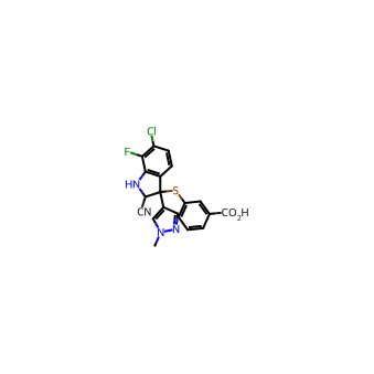 Cn1cc(C2(Sc3cccc(C(=O)O)c3)c3ccc(Cl)c(F)c3NC2C#N)cn1